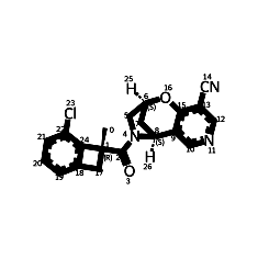 C[C@@]1(C(=O)N2C[C@@H]3C[C@H]2c2cncc(C#N)c2O3)Cc2cccc(Cl)c21